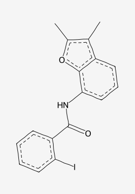 Cc1oc2c(NC(=O)c3ccccc3I)cccc2c1C